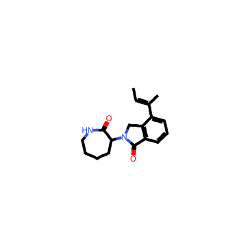 CC=C(C)c1cccc2c1CN(C1CCCCNC1=O)C2=O